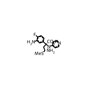 CSCC[C@@](C(=O)O)(c1ccc(F)c(N)c1)N(N)c1ccncc1